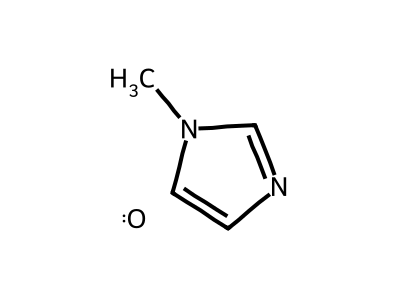 Cn1ccnc1.[O]